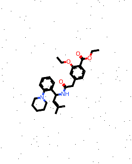 CCOC(=O)c1ccc(CC(=O)NC(C=C(C)C)c2ccccc2N2CCCCC2)cc1OCC